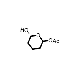 CC(=O)OC1CCC[C@H](O)O1